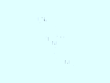 Nc1ccc(NC(=O)c2ccc(N)cc2Cl)cc1